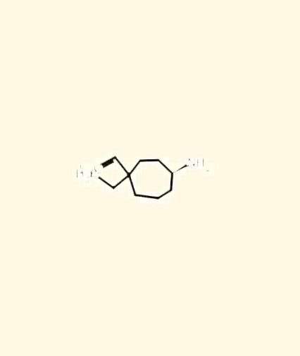 C=CC1(CC)CCC[C@H](N)CC1